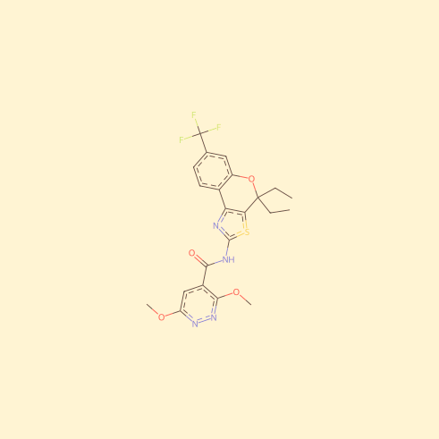 CCC1(CC)Oc2cc(C(F)(F)F)ccc2-c2nc(NC(=O)c3cc(OC)nnc3OC)sc21